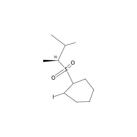 CC(C)[C@H](C)S(=O)(=O)C1CCCCC1I